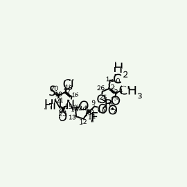 C=CC1=C(C)OP(=O)(OC[C@]2(F)CC[C@H](n3cc(Cl)c(=S)[nH]c3=O)O2)OC1